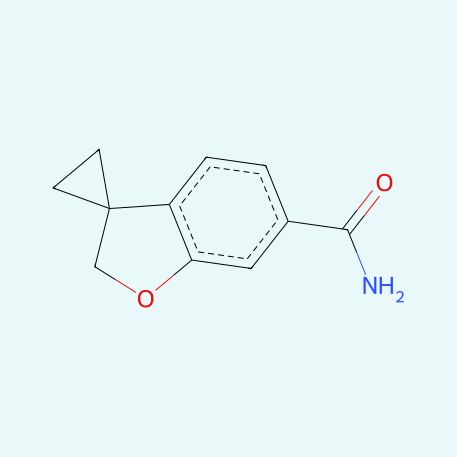 NC(=O)c1ccc2c(c1)OCC21CC1